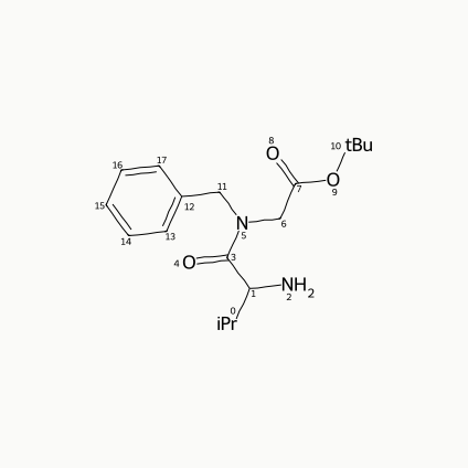 CC(C)C(N)C(=O)N(CC(=O)OC(C)(C)C)Cc1ccccc1